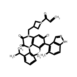 C=CC(=O)N1CC(Cn2c(=O)c(=O)n(-c3c(C)cccc3C(C)C)c3c(F)c(-c4c(C)ccc5[nH]ncc45)c(Cl)cc32)C1